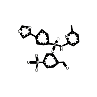 Cc1cccc(NS(=O)(=O)c2ccc(-c3cnco3)cc2)n1.O=Cc1ccc(S(=O)(=O)Cl)cc1